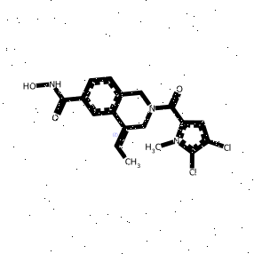 C/C=C1\CN(C(=O)c2cc(Cl)c(Cl)n2C)Cc2ccc(C(=O)NO)cc21